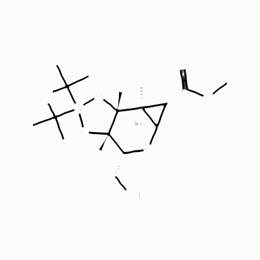 COC(=O)[C@@H]1[C@H]2O[C@H](CO)[C@@H]3O[Si](C(C)(C)C)(C(C)(C)C)O[C@@H]3[C@H]21